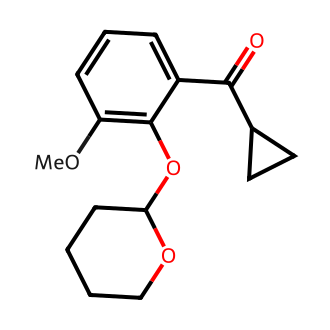 COc1cccc(C(=O)C2CC2)c1OC1CCCCO1